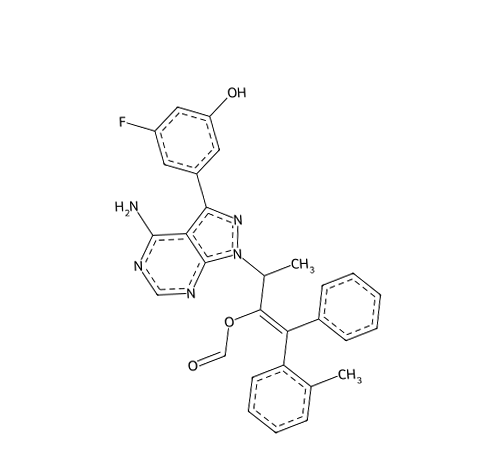 Cc1ccccc1/C(=C(\OC=O)C(C)n1nc(-c2cc(O)cc(F)c2)c2c(N)ncnc21)c1ccccc1